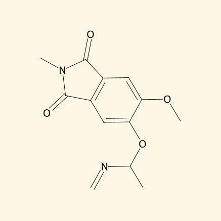 C=NC(C)Oc1cc2c(cc1OC)C(=O)N(C)C2=O